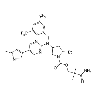 CCC1CC(N(Cc2cc(C(F)(F)F)cc(C(F)(F)F)c2)c2ncc(-c3cnn(C)c3)cn2)CN1C(=O)OCC(C)(C)C(N)=O